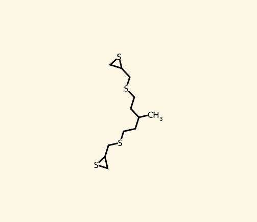 CC(CCSCC1CS1)CCSCC1CS1